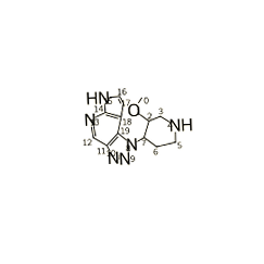 COC1CNCCC1n1nnc2cnc3[nH]ccc3c21